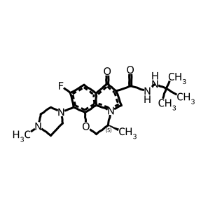 C[C@H]1COc2c(N3CCN(C)CC3)c(F)cc3c(=O)c(C(=O)NNC(C)(C)C)cn1c23